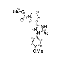 COc1ccc(-n2nc([C@H]3CCCN(C(=O)OC(C)(C)C)C3)[nH]c2=O)cc1